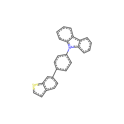 c1ccc2c(c1)c1ccccc1n2-c1ccc(-c2ccc3ccsc3c2)cc1